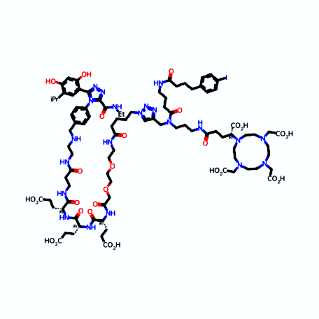 CCNC(=O)c1nnc(-c2cc(C(C)C)c(O)cc2O)n1-c1ccc(CNCCNC(=O)CCNC(=O)[C@@H](CCC(=O)O)NC(=O)[C@@H](CCC(=O)O)NC(=O)[C@@H](CCC(=O)O)NC(=O)COCCOCCNC(=O)CCCCn2cc(CN(CCCNC(=O)CC[C@H](C(=O)O)N3CCN(CC(=O)O)CCN(CC(=O)O)CCN(CC(=O)O)CC3)C(=O)CCCNC(=O)CCCc3ccc(I)cc3)nn2)cc1